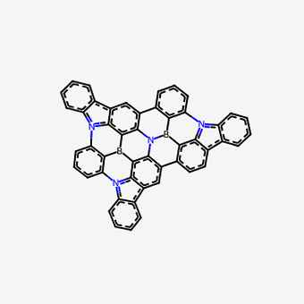 c1cc2c3c(c1)-n1c4ccccc4c4ccc5c(c41)B3N1c3c-2cc2c4ccccc4n4c2c3B2c3c-4cccc3-n3c4ccccc4c4cc-5c1c2c43